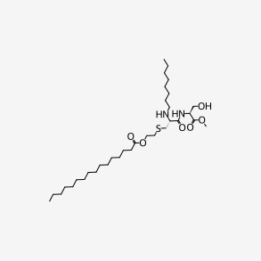 CCCCCCCCCCCCCCCC(=O)OCCSC[C@H](NCCCCCCCC)C(=O)N[C@@H](CO)C(=O)OC